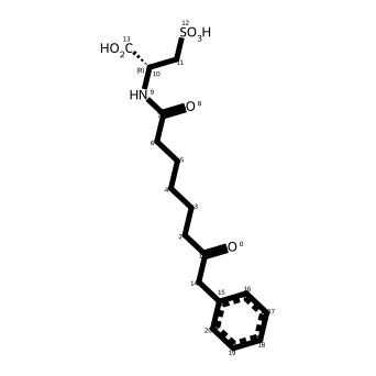 O=C(CCCCCC(=O)N[C@@H](CS(=O)(=O)O)C(=O)O)Cc1ccccc1